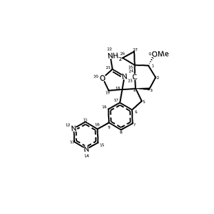 CO[C@@H]1CC[C@]2(Cc3ccc(-c4cncnc4)cc3C23COC(N)=N3)CC12CC2